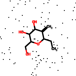 C=C1C(CC)OC(CO)C(O)C1O